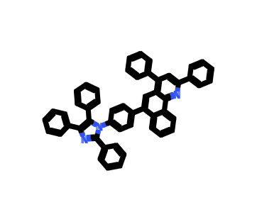 c1ccc(-c2cc(-c3ccccc3)c3cc(-c4ccc(-n5c(-c6ccccc6)nc(-c6ccccc6)c5-c5ccccc5)cc4)c4ccccc4c3n2)cc1